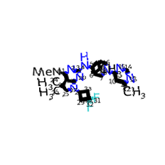 CNc1nc(NC2C3CN(c4cc(C)ncn4)CC2C3C)nc2c1C(C)(C)CN2C1CC(F)(F)C1